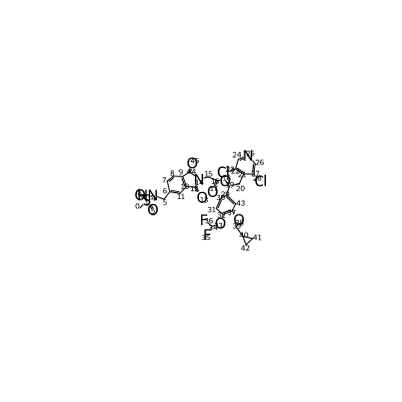 CS(=O)(=O)NCc1ccc2c(c1)C(=O)N(CC(=O)O[C@@H](Cc1c(Cl)cncc1Cl)c1ccc(OC(F)F)c(OCC3CC3)c1)C2=O